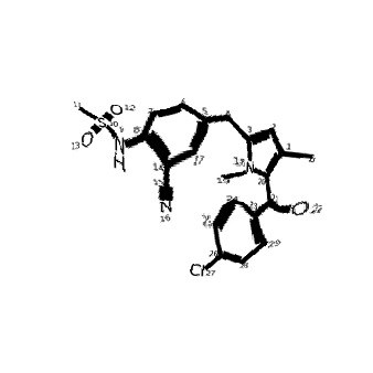 Cc1cc(Cc2ccc(NS(C)(=O)=O)c(C#N)c2)n(C)c1C(=O)c1ccc(Cl)cc1